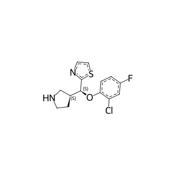 Fc1ccc(O[C@H](c2nccs2)[C@H]2CCNC2)c(Cl)c1